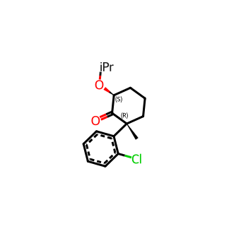 CC(C)O[C@H]1CCC[C@](C)(c2ccccc2Cl)C1=O